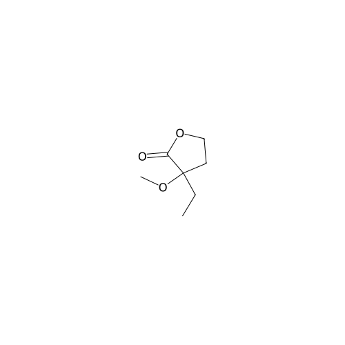 CCC1(OC)CCOC1=O